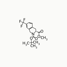 COC(=O)[C@@H]1Cc2ccc(C(F)(F)F)cc2CN1C(=O)OC(C)(C)C